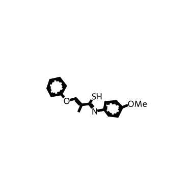 COc1ccc(/N=C(S)/C(C)=C/Oc2ccccc2)cc1